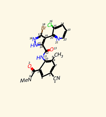 CNC(=O)c1cc(C#N)cc(C)c1NC(=O)c1[nH]nc(Br)c1-c1ncccc1Cl